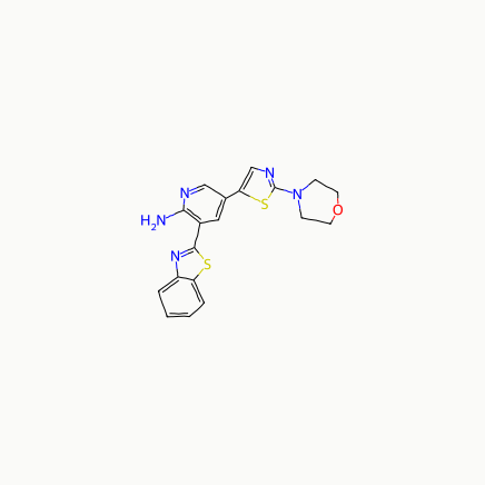 Nc1ncc(-c2cnc(N3CCOCC3)s2)cc1-c1nc2ccccc2s1